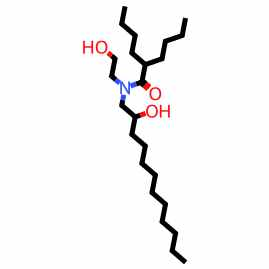 CCCCCCCCCCC(O)CN(CCO)C(=O)C(CCCC)CCCC